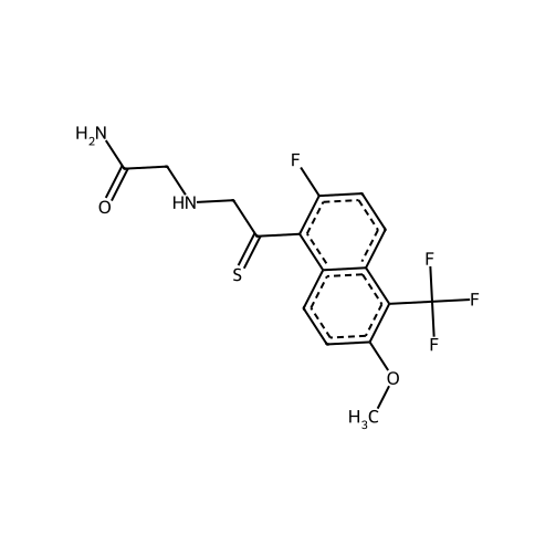 COc1ccc2c(C(=S)CNCC(N)=O)c(F)ccc2c1C(F)(F)F